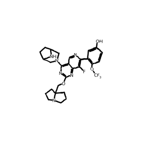 Oc1ccc(OC(F)(F)F)c(-c2ncc3c(N4CC5CCC(C4)N5)nc(OCC45CCCN4CCC5)nc3c2F)c1